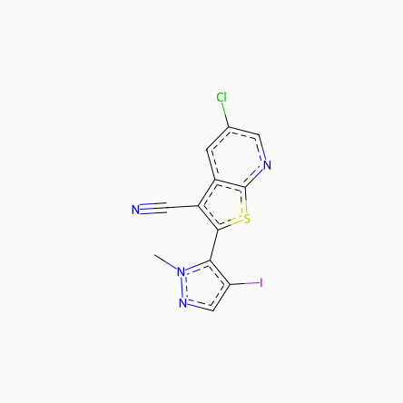 Cn1ncc(I)c1-c1sc2ncc(Cl)cc2c1C#N